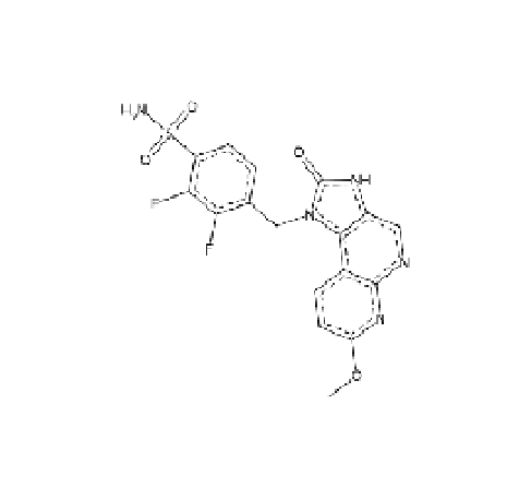 COc1ccc2c(ncc3[nH]c(=O)n(Cc4ccc(S(N)(=O)=O)c(F)c4F)c32)n1